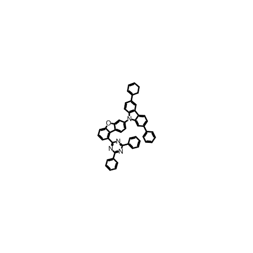 C1=CCCC(c2ccc3c(c2)c2ccc(-c4ccccc4)cc2n3-c2ccc3c(c2)oc2cccc(-c4nc(-c5ccccc5)nc(-c5ccccc5)n4)c23)=C1